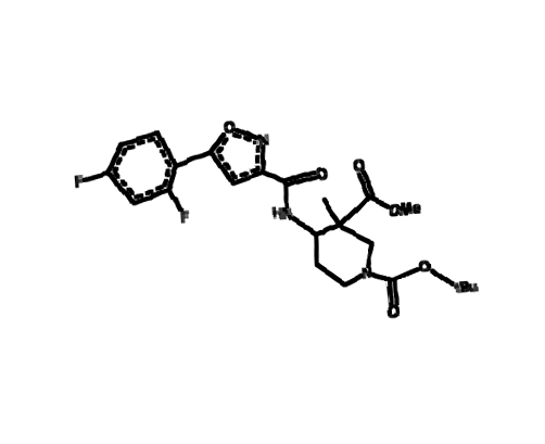 COC(=O)C1(C)CN(C(=O)OC(C)(C)C)CCC1NC(=O)c1cc(-c2ccc(F)cc2F)on1